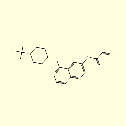 C=CC(=O)Nc1cnc2ccnc(O[C@H]3CC[C@H](C(F)(F)F)CC3)c2c1